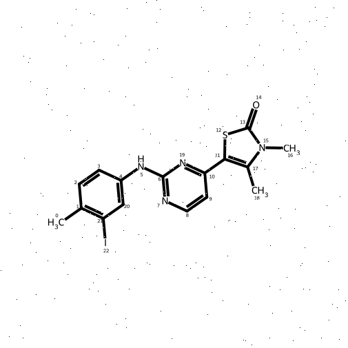 Cc1ccc(Nc2nccc(-c3sc(=O)n(C)c3C)n2)cc1I